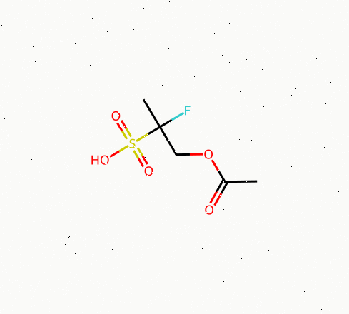 CC(=O)OCC(C)(F)S(=O)(=O)O